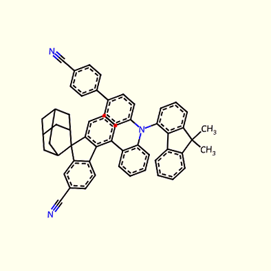 CC1(C)c2ccccc2-c2c(N(c3ccc(-c4ccc(C#N)cc4)cc3)c3ccccc3-c3cccc4c3-c3ccc(C#N)cc3C43C4CC5CC(C4)CC3C5)cccc21